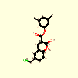 Cc1cc(C)cc(OC(=O)c2cc3cc(CCl)ccc3oc2=O)c1